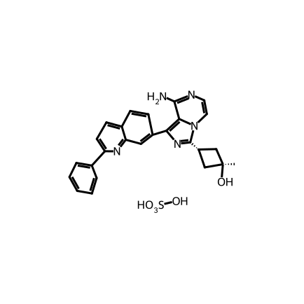 C[C@]1(O)C[C@H](c2nc(-c3ccc4ccc(-c5ccccc5)nc4c3)c3c(N)nccn32)C1.O=S(=O)(O)O